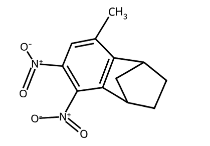 Cc1cc([N+](=O)[O-])c([N+](=O)[O-])c2c1C1CCC2C1